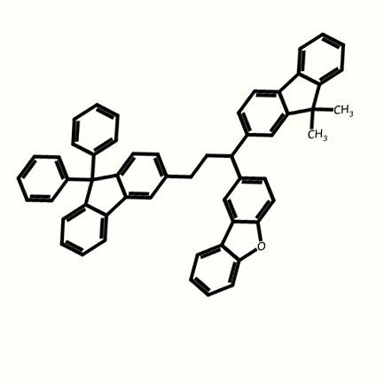 CC1(C)c2ccccc2-c2ccc(C(CCc3ccc4c(c3)-c3ccccc3C4(c3ccccc3)c3ccccc3)c3ccc4oc5ccccc5c4c3)cc21